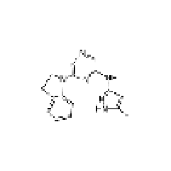 Cc1cc(Nc2cncc(N3CCc4ccccc43)n2)n[nH]1